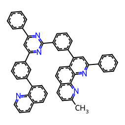 Cc1ccc2ccc3c(-c4cccc(-c5nc(-c6ccccc6)cc(-c6cccc(-c7cccc8cccnc78)c6)n5)c4)cc(-c4ccccc4)nc3c2n1